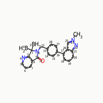 BC1(B)c2ncccc2C(=O)N1Cc1ccc(-c2cccc3nn(C)cc23)cc1